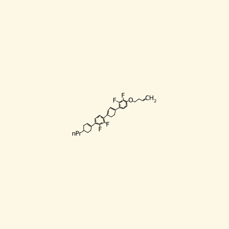 C=CCCOc1ccc(C2=CC=C(c3ccc(C4=CCC(CCC)CC4)c(F)c3F)CC2)c(F)c1F